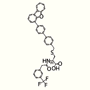 O=C(Cc1cccc(C(F)(F)F)c1)N[C@@H](CSCc1ccc(-c2ccc(-c3cccc4c3oc3ccccc34)cc2)cc1)C(=O)O